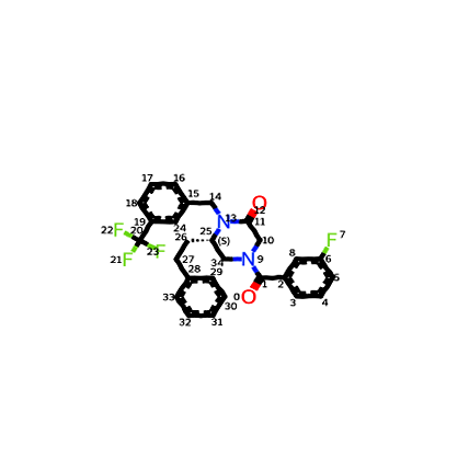 O=C(c1cccc(F)c1)N1CC(=O)N(Cc2cccc(C(F)(F)F)c2)[C@@H](CCc2ccccc2)C1